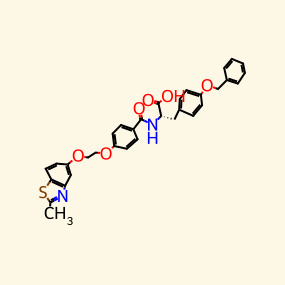 Cc1nc2cc(OCCOc3ccc(C(=O)N[C@@H](Cc4ccc(OCc5ccccc5)cc4)C(=O)O)cc3)ccc2s1